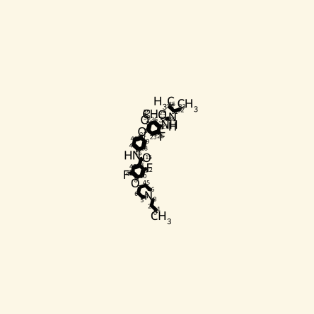 CCCCN1CCC(Oc2cc(F)c(C(=O)Nc3ccc(Oc4cc(F)c(NC(=O)NC(CC)CC)cc4OC)cc3)cc2F)CC1